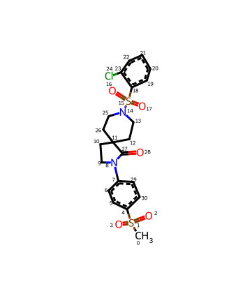 CS(=O)(=O)c1ccc(N2CCC3(CCN(S(=O)(=O)c4ccccc4Cl)CC3)C2=O)cc1